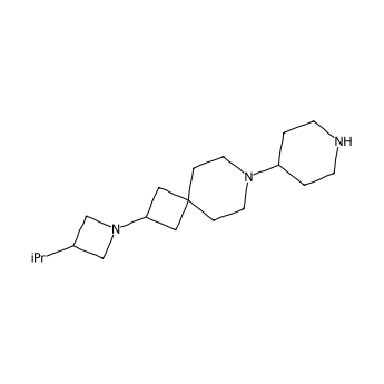 CC(C)C1CN(C2CC3(CCN(C4CCNCC4)CC3)C2)C1